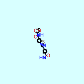 CNC(=O)c1ccc(-c2cn3c(n2)sc2cc(C(=O)N[C@@H](CO)CC(C)C)ccc23)cc1